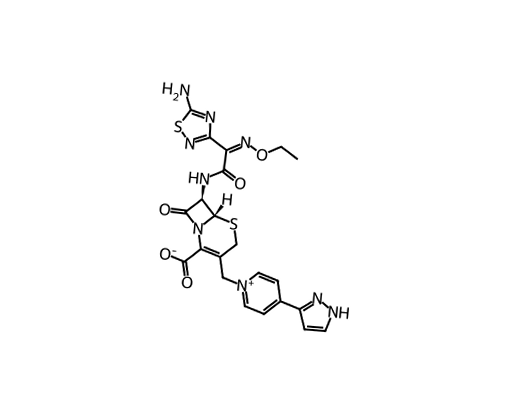 CCO/N=C(\C(=O)N[C@@H]1C(=O)N2C(C(=O)[O-])=C(C[n+]3ccc(-c4cc[nH]n4)cc3)CS[C@@H]12)c1nsc(N)n1